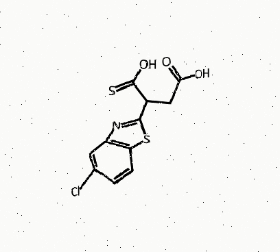 O=C(O)CC(C(O)=S)c1nc2cc(Cl)ccc2s1